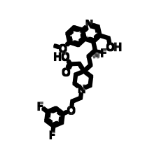 COc1ccc2ncc(CO)c([C@@H](F)CCC3(CC(=O)O)CCN(CCOc4cc(F)cc(F)c4)CC3)c2c1